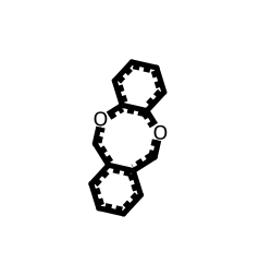 c1ccc2coc3ccccc3occ2c1